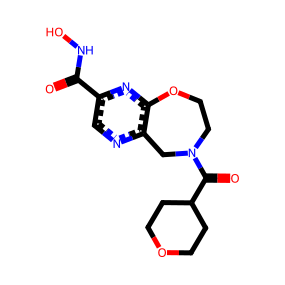 O=C(NO)c1cnc2c(n1)OCCN(C(=O)C1CCOCC1)C2